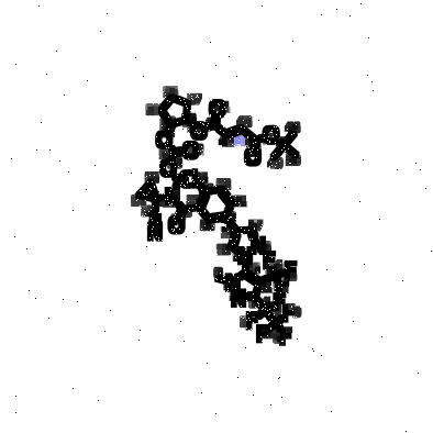 Cn1nc(C(F)(F)C(F)(F)F)c(C(F)(F)F)c1-n1cc(-c2ccc(Cl)c(C(=O)N(COC(=O)O[C@H]3CCC[C@@H]3OC(=O)/C=C/C(=O)OC(C)(C)C)C3(C#N)CC3)c2)cn1